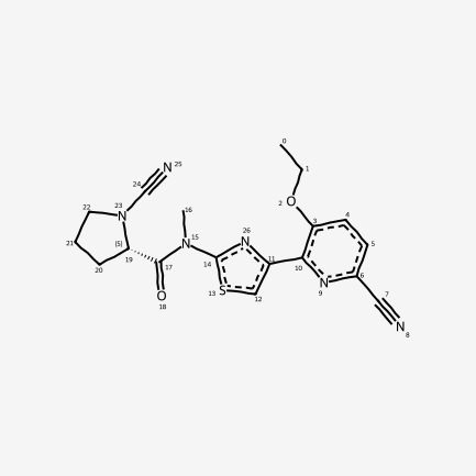 CCOc1ccc(C#N)nc1-c1csc(N(C)C(=O)[C@@H]2CCCN2C#N)n1